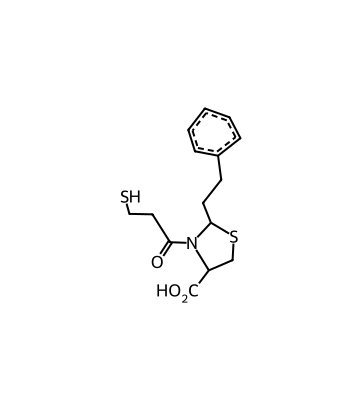 O=C(O)C1CSC(CCc2ccccc2)N1C(=O)CCS